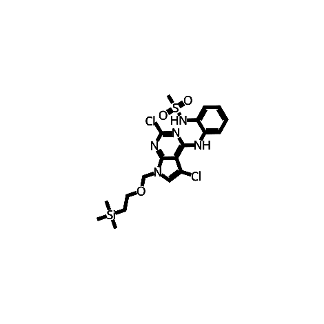 C[Si](C)(C)CCOCn1cc(Cl)c2c(Nc3ccccc3NS(C)(=O)=O)nc(Cl)nc21